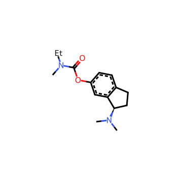 CCN(C)C(=O)Oc1ccc2c(c1)[C@H](N(C)C)CC2